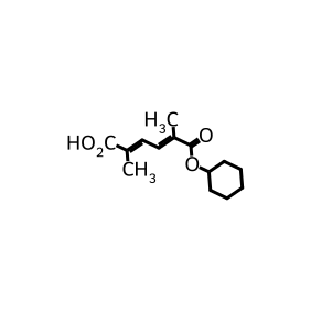 CC(=CC=C(C)C(=O)OC1CCCCC1)C(=O)O